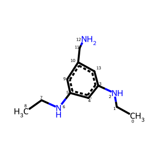 CCNc1[c]c(NCC)cc(CN)c1